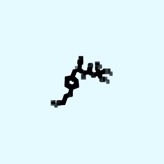 C=CCOc1ccc(C[C@@H](C#N)NC(=O)OC(C)(C)C)cc1